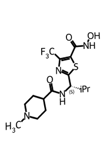 CC(C)[C@H](NC(=O)C1CCN(C)CC1)c1nc(C(F)(F)F)c(C(=O)NO)s1